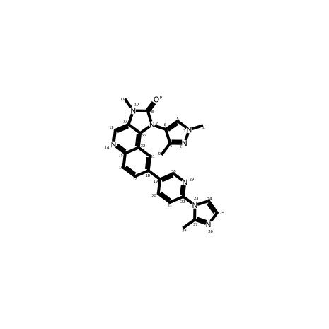 Cc1nn(C)cc1-n1c(=O)n(C)c2cnc3ccc(-c4ccc(-n5ccnc5C)nc4)cc3c21